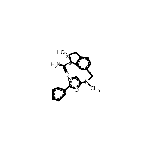 CN(Cc1ccc2c(c1)[C@@H](C(N)=O)[C@H](O)C2)c1cnc(-c2ccccc2)o1